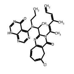 C=C/C=C(C)\C=C(/C)n1c(C(C)N(CCC)c2ncnc3[nH]cnc(=O)c23)nc2c(c1=O)CC(Cl)=CC=C2